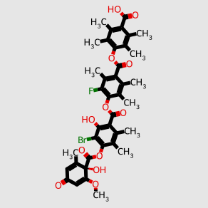 COC1=CC(=O)C=C(C)[C@]1(O)C(=O)Oc1c(C)c(C)c(C(=O)Oc2c(C)c(C)c(C(=O)Oc3c(C)c(C)c(C(=O)O)c(C)c3C)c(C)c2F)c(O)c1Br